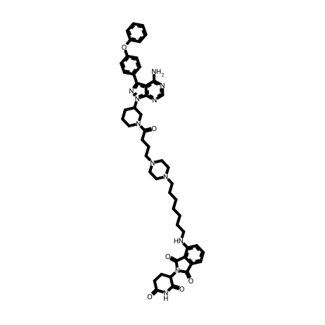 Nc1ncnc2c1c(-c1ccc(Oc3ccccc3)cc1)nn2C1CCCN(C(=O)CCCN2CCN(CCCCCCCNc3cccc4c3C(=O)N(C3CCC(=O)NC3=O)C4=O)CC2)C1